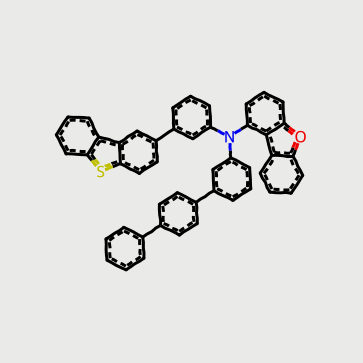 c1ccc(-c2ccc(-c3cccc(N(c4cccc(-c5ccc6sc7ccccc7c6c5)c4)c4cccc5oc6ccccc6c45)c3)cc2)cc1